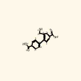 O=C(O)c1ccc(-c2ccc(C(=O)O)cc2CS)cc1